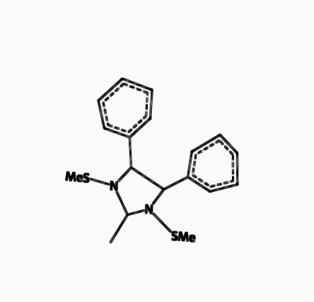 CSN1C(c2ccccc2)C(c2ccccc2)N(SC)C1C